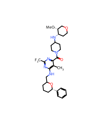 CO[C@@H]1COCC[C@@H]1NC1CCN(C(=O)c2nc(C(F)(F)F)nc(NCC3CCC[C@@H](c4ccccc4)O3)c2C)CC1